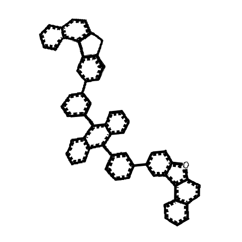 c1cc(-c2ccc3c(c2)-c2c(ccc4ccccc24)C3)cc(-c2c3ccccc3c(-c3cccc(-c4ccc5oc6ccc7ccccc7c6c5c4)c3)c3ccccc23)c1